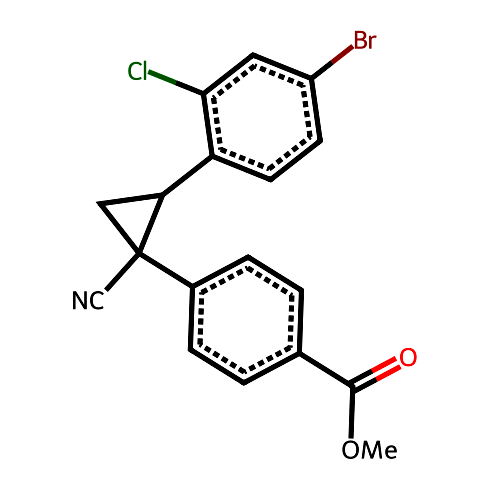 COC(=O)c1ccc(C2(C#N)CC2c2ccc(Br)cc2Cl)cc1